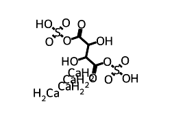 O=C(OS(=O)(=O)O)C(O)C(O)C(=O)OS(=O)(=O)O.[CaH2].[CaH2].[CaH2].[CaH2]